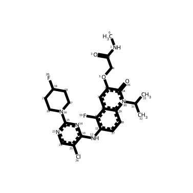 CNC(=O)COc1cc2c(F)c(Nc3nc(N4CCC(F)CC4)ncc3Cl)ccc2n(C(C)C)c1=O